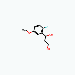 COc1ccc(F)c(C(O)CCO)c1